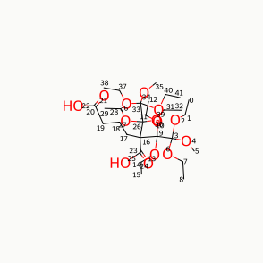 CCOC(OC)(OCC)C(OCC)(OCC)C(CCCC(=O)O)(C(=O)O)C(OCC)(OCC)C(OC)(OCC)OCC